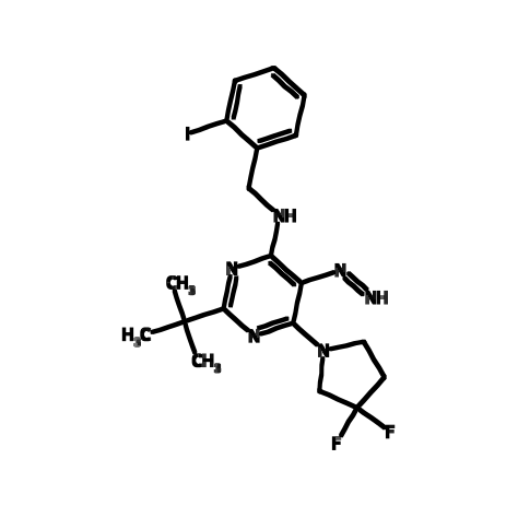 CC(C)(C)c1nc(NCc2ccccc2I)c(N=N)c(N2CCC(F)(F)C2)n1